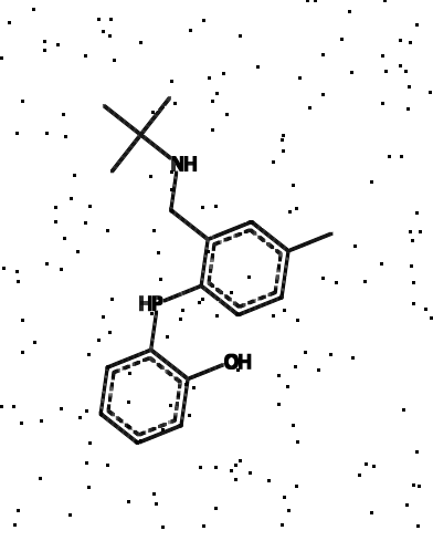 Cc1ccc(Pc2ccccc2O)c(CNC(C)(C)C)c1